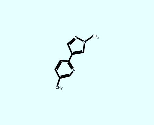 [CH2]c1ccc(-c2cnn(C)c2)nc1